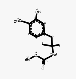 CC(C)(Cc1ccc(C=O)c(O)c1)NC(=O)OC(C)(C)C